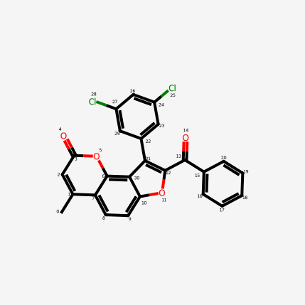 Cc1cc(=O)oc2c1ccc1oc(C(=O)c3ccccc3)c(-c3cc(Cl)cc(Cl)c3)c12